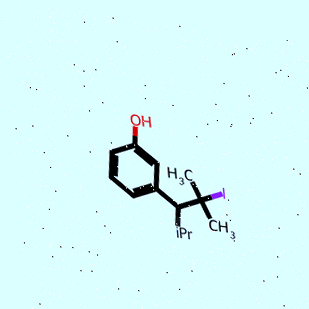 CC(C)C(c1cccc(O)c1)C(C)(C)I